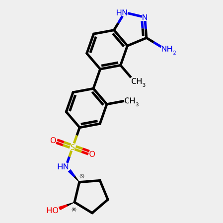 Cc1cc(S(=O)(=O)N[C@H]2CCC[C@H]2O)ccc1-c1ccc2[nH]nc(N)c2c1C